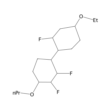 CCCOC1CCC(C2CCC(OCC)CC2F)C(F)C1F